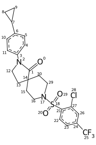 O=C1N(c2ccc(C3CC3)cc2)CCC12CCN(S(=O)(=O)c1ccc(C(F)(F)F)cc1Cl)CC2